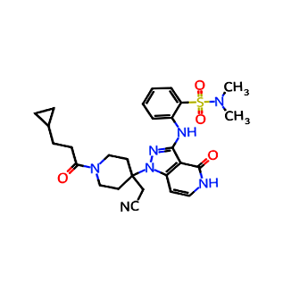 CN(C)S(=O)(=O)c1ccccc1Nc1nn(C2(CC#N)CCN(C(=O)CCC3CC3)CC2)c2cc[nH]c(=O)c12